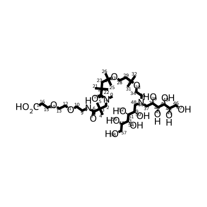 CN(CC(C)(C)C(=O)NCCOCCOCCC(=O)O)C(=O)C(C)(C)CC(C)(C)OCCC(C)(C)OCCN(C[C@H](O)[C@@H](O)[C@H](O)[C@H](O)CO)C[C@H](O)[C@@H](O)[C@H](O)[C@H](O)CO